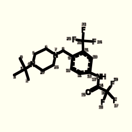 CC(C)(C)N1CCN(Cc2ccc(NC(=O)C(F)(F)F)cc2C(F)(F)F)CC1